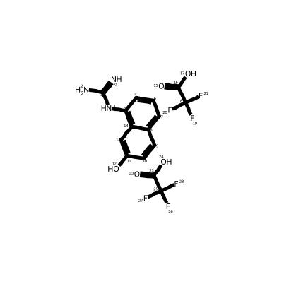 N=C(N)Nc1cccc2ccc(O)cc12.O=C(O)C(F)(F)F.O=C(O)C(F)(F)F